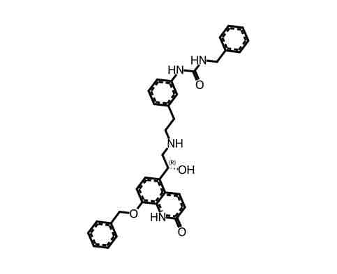 O=C(NCc1ccccc1)Nc1cccc(CCNC[C@H](O)c2ccc(OCc3ccccc3)c3[nH]c(=O)ccc23)c1